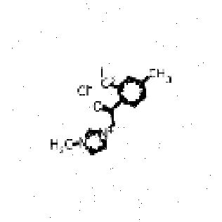 Cc1ccc(C(=O)C[n+]2ccn(C)c2)c(C)c1.[Cl-]